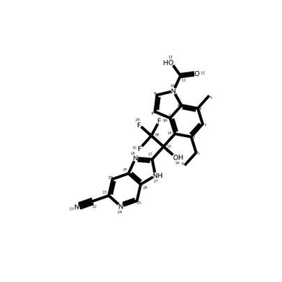 CCc1cc(C)c2c(ccn2C(=O)O)c1C(O)(c1nc2cc(C#N)ncc2[nH]1)C(F)(F)F